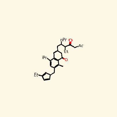 CCCC(CC1CC(=O)c2c(C)c(CC3C=CC(CC)=C3)cc(C(C)C)c2C1)C(CC)C(=O)CC(C)=O